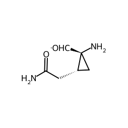 NC(=O)C[C@H]1C[C@]1(N)[C]=O